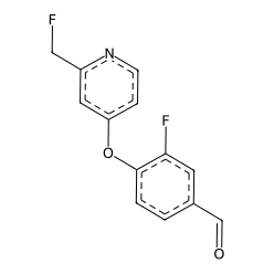 O=Cc1ccc(Oc2ccnc(CF)c2)c(F)c1